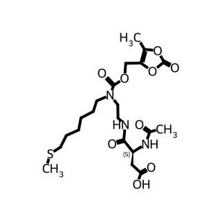 CSCCCCCCN(CCNC(=O)[C@H](CC(=O)O)NC(C)=O)C(=O)OCc1oc(=O)oc1C